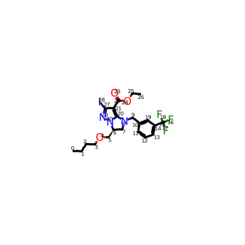 CCCCOC[C@@H]1CN(Cc2cccc(C(F)(F)F)c2)c2c(C(=O)OCC)c(I)nn21